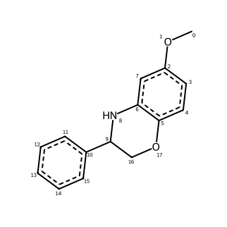 COc1ccc2c(c1)NC(c1ccccc1)CO2